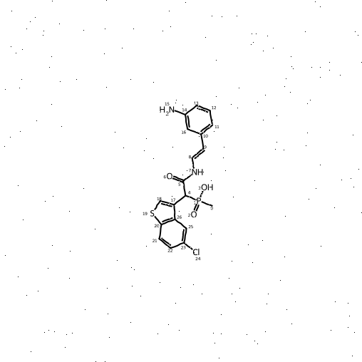 CP(=O)(O)C(C(=O)N/C=C/c1cccc(N)c1)c1csc2ccc(Cl)cc12